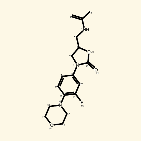 C=C(C)NCC1CN(c2ccc(N3CCOCC3)c(F)c2)C(=O)O1